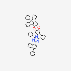 c1ccc(-c2nc(-c3ccccc3-c3ccc4c(c3)Oc3ccc5c(c3O4)-c3ccccc3C5(c3ccccc3)c3ccccc3)nc(-c3ccc(-c4ccccc4)c4ccccc34)n2)cc1